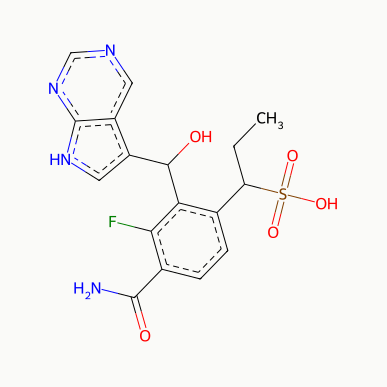 CCC(c1ccc(C(N)=O)c(F)c1C(O)c1c[nH]c2ncncc12)S(=O)(=O)O